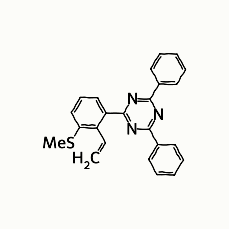 C=Cc1c(SC)cccc1-c1nc(-c2ccccc2)nc(-c2ccccc2)n1